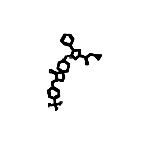 O=C(CC1CC1)N1CC(c2ccccc2)[C@@H](CN2CCC3(CC2)CCN(Cc2ccc(C(F)(F)F)cc2)C3=O)C1